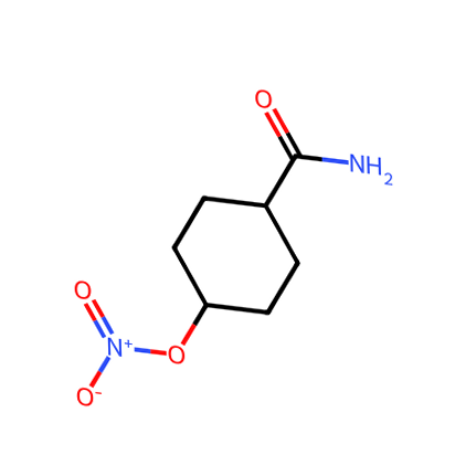 NC(=O)C1CCC(O[N+](=O)[O-])CC1